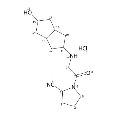 Cl.N#CC1CCCN1C(=O)CNC1CC2CC(O)CC2C1